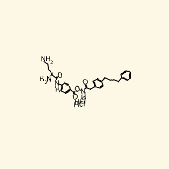 Cl.Cl.NCCCC[C@H](N)C(=O)Nc1ccc(C(=O)ONC(=O)Cc2ccc(CCCCc3ccccc3)cc2)cc1